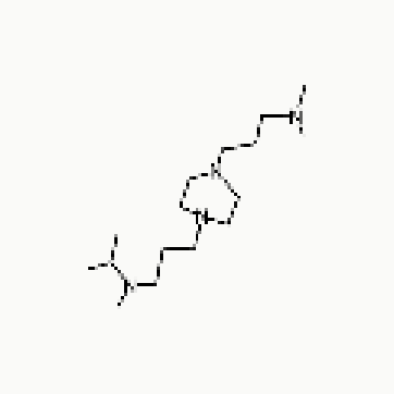 CC(C)N(C)CCCN1CCN(CCCN(C)C)CC1